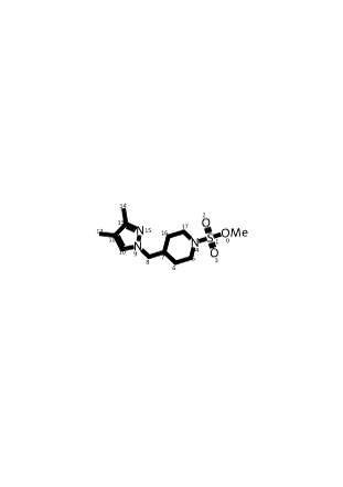 COS(=O)(=O)N1CCC(Cn2cc(C)c(C)n2)CC1